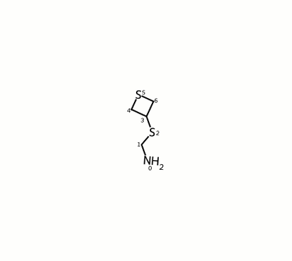 NCSC1CSC1